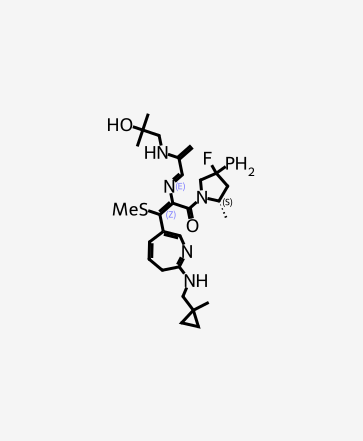 C=C(/C=N/C(C(=O)N1CC(F)(P)C[C@@H]1C)=C(\SC)C1=CN=C(NCC2(C)CC2)CC=C1)NCC(C)(C)O